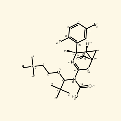 CC(C)(C)C(OCC[Si](C)(C)C)N(C(=O)O)C1=N[C@](C)(c2cc(Br)ccc2F)[C@@H]2C[C@]2(C=O)S1